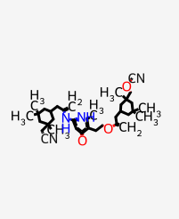 C=C(CC1CC(C)(C)CC(C)(CC#N)C1)Nc1cc(=O)c(CCOC(=C)CC2CC(C)(C)CC(C)(COC#N)C2)c(C)[nH]1